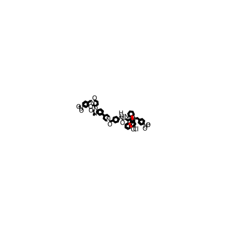 Cn1c(=O)n(C2CCC(=O)N(Cc3ccc([N+](=O)[O-])cc3)C2=O)c2ccc(C3CCN(C(=O)C4CCC(NC(=O)[C@@H]5NC6(CCCCC6)[C@@]6(C(=O)N(Cc7ccc([N+](=O)[O-])cc7)c7cc(Cl)ccc76)[C@H]5c5cccc(Cl)c5F)CC4)CC3)cc21